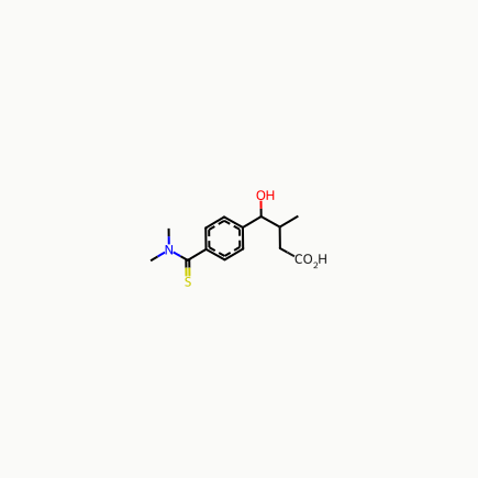 CC(CC(=O)O)C(O)c1ccc(C(=S)N(C)C)cc1